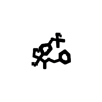 CCOC(=O)CC(N)(C(=O)OCc1ccccc1)c1ccc(OS(C)(=O)=O)cc1